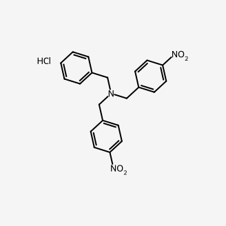 Cl.O=[N+]([O-])c1ccc(CN(Cc2ccccc2)Cc2ccc([N+](=O)[O-])cc2)cc1